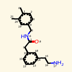 Cc1ccc(CNC(=O)Cc2cccc(CCN)c2)cc1C